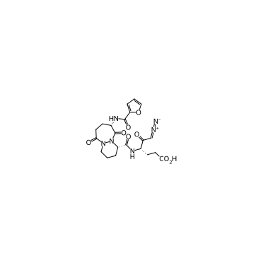 [N-]=[N+]=CC(=O)[C@H](CCC(=O)O)NC(=O)[C@@H]1CCCN2C(=O)CC[C@H](NC(=O)c3ccco3)C(=O)N12